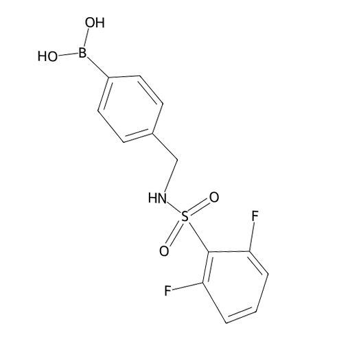 O=S(=O)(NCc1ccc(B(O)O)cc1)c1c(F)cccc1F